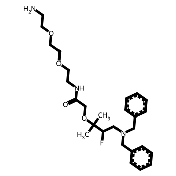 CC(C)(OCC(=O)NCCOCCOCCN)C(F)CN(Cc1ccccc1)Cc1ccccc1